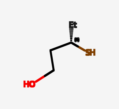 CC[C@H](S)CCO